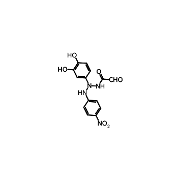 O=CC(=O)NN(Nc1ccc([N+](=O)[O-])cc1)c1ccc(O)c(O)c1